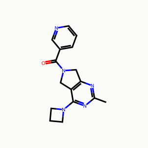 Cc1nc2c(c(N3CCC3)n1)CN(C(=O)c1cccnc1)C2